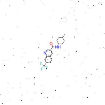 CC1CCC(NC(=O)c2cnc3cc(C(F)(F)F)ccc3c2)CC1